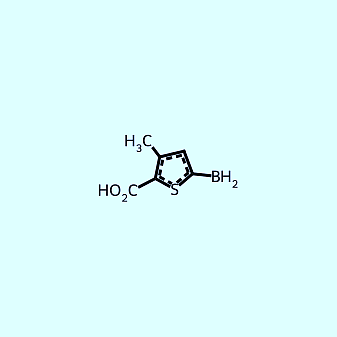 Bc1cc(C)c(C(=O)O)s1